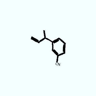 [CH2]C(C=C)c1cccc(C#N)c1